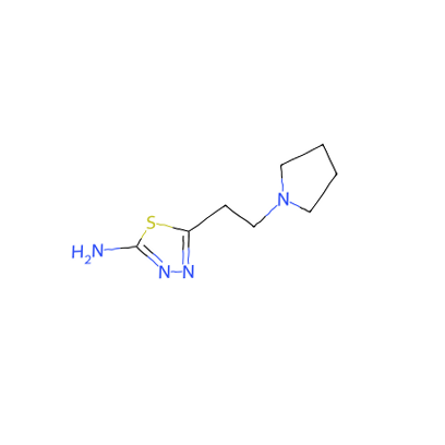 Nc1nnc(CCN2CCCC2)s1